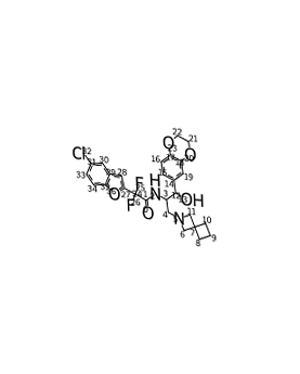 O=C(NC(CN1CC2(CCC2)C1)C(O)c1ccc2c(c1)OCCO2)C(F)(F)c1cc2cc(Cl)ccc2o1